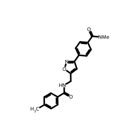 CNC(=O)c1ccc(-c2cc(CNC(=O)c3ccc(C)cc3)on2)cc1